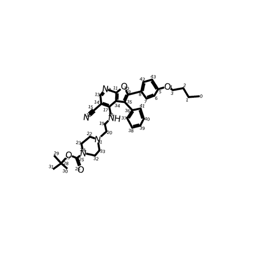 CCCCOc1ccc(-c2oc3ncc(C#N)c(NCCN4CCN(C(=O)OC(C)(C)C)CC4)c3c2-c2ccccc2)cc1